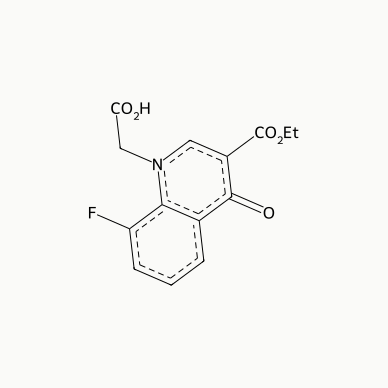 CCOC(=O)c1cn(CC(=O)O)c2c(F)cccc2c1=O